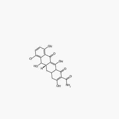 NC(=O)C1=C(O)CC2C[C@H]3C(=C(O)C2C1=O)C(=O)c1c(O)ccc(Cl)c1C3O